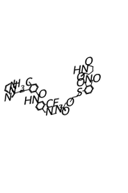 Cc1ccc(C(=O)Nc2ccc(CN3CCN(C(=O)COCCSc4cccc5c4C(=O)N(C4CCC(=O)NC4=O)C5=O)CC3)c(C(F)(F)F)c2)cc1C#Cc1cnc2cccnn12